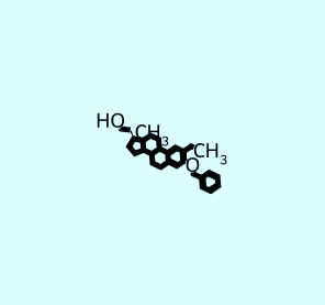 CCc1cc2c(cc1OCc1ccccc1)CCC1C2CC[C@@]2(C)C1CC[C@@H]2CCO